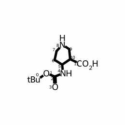 CC(C)(C)OC(=O)NC1CCNCC1C(=O)O